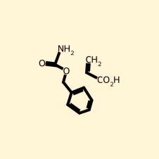 C=CC(=O)O.NC(=O)OCc1ccccc1